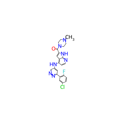 CN1CCN(C(=O)c2cc3c(Nc4cnnc(-c5cc(Cl)ccc5F)c4)ccnc3[nH]2)CC1